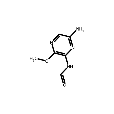 COc1ncc(N)nc1NC=O